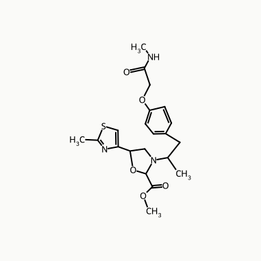 CNC(=O)COc1ccc(CC(C)N2CC(c3csc(C)n3)OC2C(=O)OC)cc1